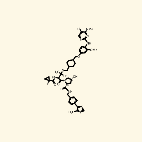 CNc1nc(Nc2ccc(OCC3CCC(CSC(C)(C)C(NC(=O)C4(F)CC4)C(=O)N4C[C@H](O)C[C@H]4C(=O)NCc4ccc(-c5scnc5C)cc4)CC3)cc2OC)ncc1Cl